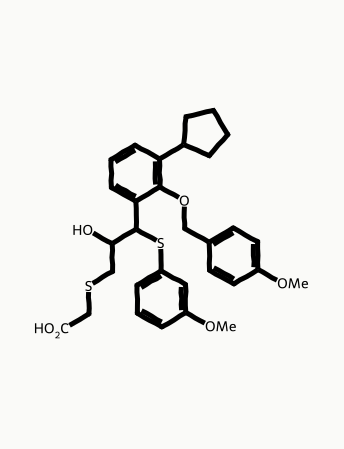 COc1ccc(COc2c(C3CCCC3)cccc2C(Sc2cccc(OC)c2)C(O)CSCC(=O)O)cc1